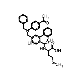 CSCCC(NC(=O)c1ccc(CN(Cc2ccccc2)c2ccc(C(C)=O)cc2)cc1-c1ccccc1C)C(=O)O.[LiH]